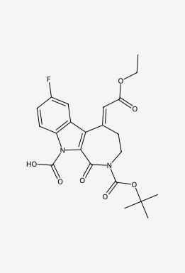 CCOC(=O)C=C1CCN(C(=O)OC(C)(C)C)C(=O)c2c1c1cc(F)ccc1n2C(=O)O